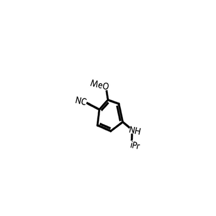 COc1cc(NC(C)C)ccc1C#N